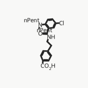 CCCCCN(CCCCC)c1ccc(Cl)cc1C(=O)NCCc1ccc(C(=O)O)cc1